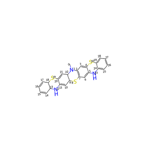 CN1c2cc3c(cc2SC2C=C4NC5C=CC=CC5SC4=CC21)Nc1ccccc1S3